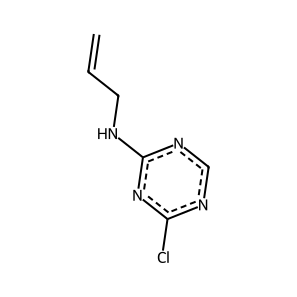 C=CCNc1ncnc(Cl)n1